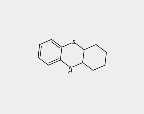 c1ccc2c(c1)NC1CCCCC1S2